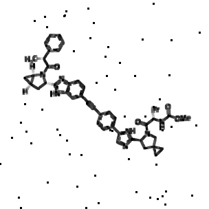 COC(=O)N[C@H](C(=O)N1CC2(CC2)C[C@H]1c1ncc(-c2ccc(C#Cc3ccc4nc([C@@H]5C[C@H]6C[C@H]6N5C(=O)[C@H](C)c5ccccc5)[nH]c4c3)cc2)[nH]1)C(C)C